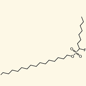 CCCCCCCCCCCCCCCCOS(=O)(=O)C(F)CCCCCCC